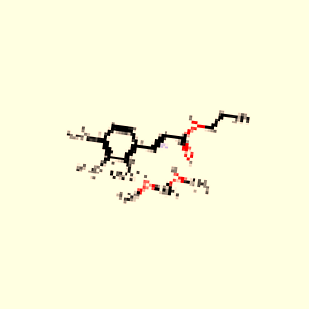 COc1ccc(/C=C/C(=O)OCCC(C)C)c(OC)c1OC.[SiH3]O[SiH2]O[SiH3]